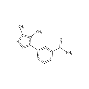 Cc1ncc(-c2cccc(C(N)=O)c2)n1C